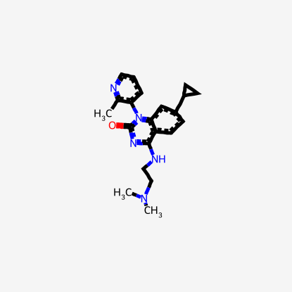 Cc1ncccc1-n1c(=O)nc(NCCN(C)C)c2ccc(C3CC3)cc21